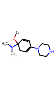 CCOC1(N(C)C)C=CC(N2CCNCC2)=CC1